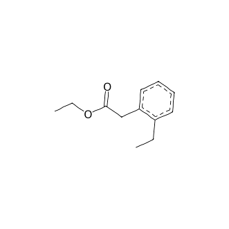 CCOC(=O)Cc1ccccc1CC